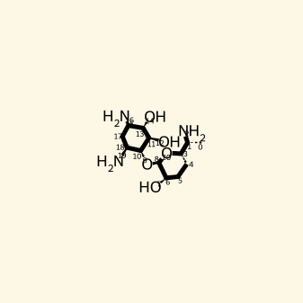 C[C@@H](N)[C@@H]1CC[C@H](O)[C@@H](O[C@H]2[C@H](O)[C@@H](O)[C@H](N)C[C@@H]2N)O1